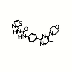 Cc1cnc(-c2ccc(NC(=O)Nc3nccs3)cc2)nc1N1CCOCC1